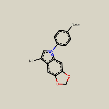 COc1ccc(-n2cc(C#N)c3cc4c(cc32)OCO4)cc1